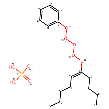 CCCCC=C(CCCC)OOOOOc1ccccc1.O=P(O)(O)O